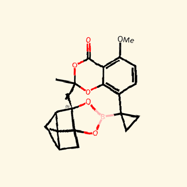 COc1ccc(C2(B3OC45CC6CC(C64C)[C@]5(C)O3)CC2)c2c1C(=O)OC(C)(C)O2